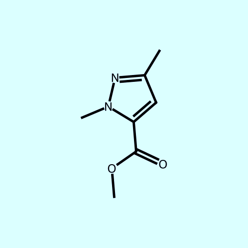 COC(=O)c1cc(C)nn1C